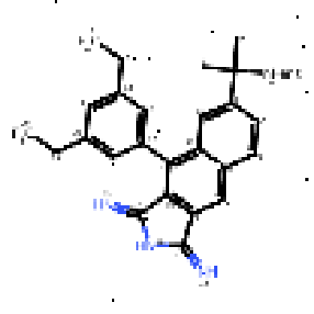 CCCCCC(C)(C)c1ccc2cc3c(c(-c4cc(CC(F)(F)F)cc(CC(F)(F)F)c4)c2c1)C(=N)NC3=N